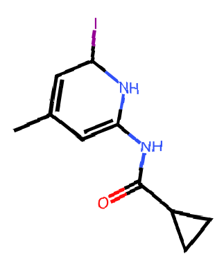 CC1=CC(I)NC(NC(=O)C2CC2)=C1